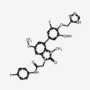 COc1cc(-c2cc(OC(F)(F)F)cc3c2n(C)c(=O)n3CC(=O)Nc2ccc(F)cc2)cc(F)c1OCc1nnc[nH]1